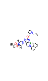 CN1CCC[C@H]1COc1nc2c(c(N3C[C@H]4CC(CC#N)[C@@H](C3)N4C(=O)OC(C)(C)C)n1)CCN(c1cccc3cccc(Cl)c13)C2